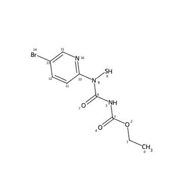 CCOC(=O)NC(=O)N(S)c1ccc(Br)cn1